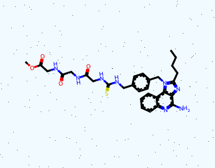 CCCCc1nc2c(N)nc3ccccc3c2n1Cc1ccc(CNC(=S)NCC(=O)NCC(=O)NCC(=O)OC)cc1